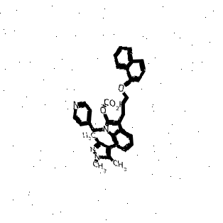 Cc1nn(C)c(C)c1-c1cccc2c(CCCOc3cccc4ccccc34)c(OC(=O)O)n(Cc3ccncc3)c12